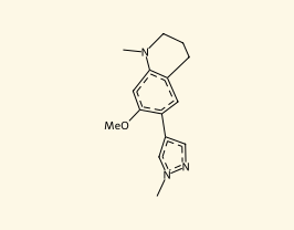 COc1cc2c(cc1-c1cnn(C)c1)CCCN2C